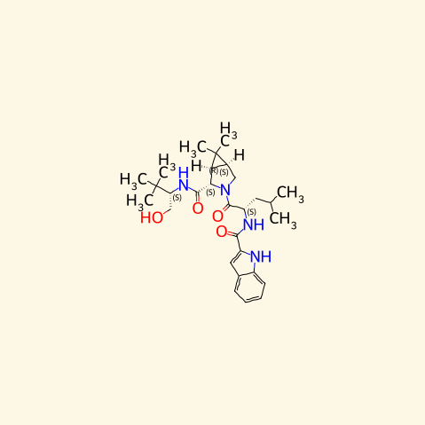 CC(C)C[C@H](NC(=O)c1cc2ccccc2[nH]1)C(=O)N1C[C@H]2[C@@H]([C@H]1C(=O)N[C@H](CO)C(C)(C)C)C2(C)C